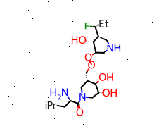 CC[C@@H](F)[C@H]1CNC[C@@H](OOC[C@H]2CN(C(=O)[C@H](N)CC(C)C)C[C@@H](O)[C@@H]2O)[C@@H]1O